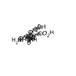 NOCCOCCOCCOCCO.O=C(O)CCCC[C@@H]1SC[C@@H]2NC(=O)N[C@@H]21